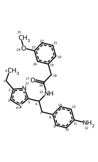 CCc1csc(C(Cc2ccc(N)cc2)NC(=O)Cc2cccc(OC)c2)n1